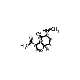 CN[C@H]1CC[C@@H]2SC[C@@H](C(C)=O)N2C1=O